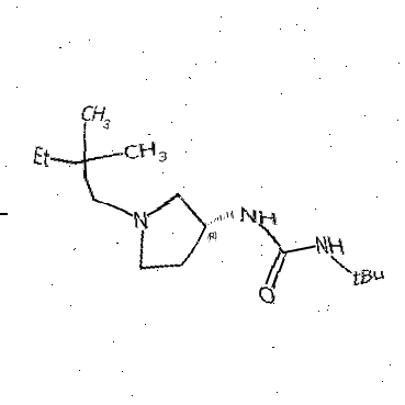 CCC(C)(C)CN1CC[C@@H](NC(=O)NC(C)(C)C)C1